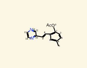 CC(=O)Oc1ccc(C)cc1C=Cc1cnccn1